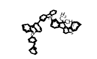 CC1(C)c2cc(-n3c4ccccc4c4ccc(-c5ccc6c(c5)c5ccccc5n6-c5ccc(-c6ccccc6)cc5)cc43)ccc2-c2ccc3sc4ccccc4c3c21